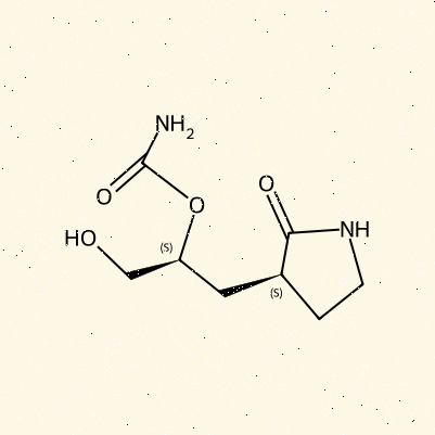 NC(=O)O[C@H](CO)C[C@@H]1CCNC1=O